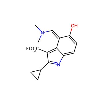 CCOC(=O)C1=c2c(ccc(O)/c2=C/N(C)C)N=C1C1CC1